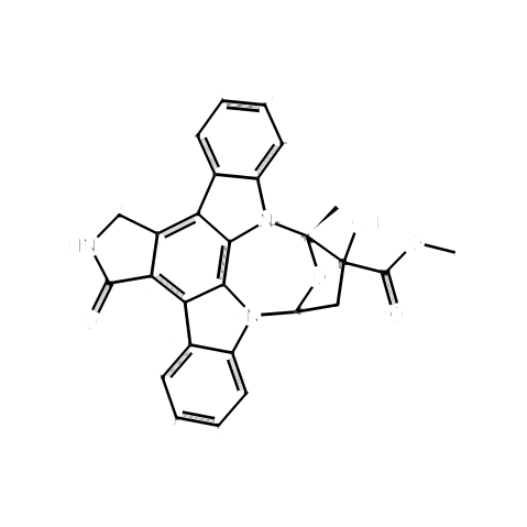 COC(=O)C1(O)CC2O[C@]1(C)n1c3ccccc3c3c4c(c5c6ccccc6n2c5c31)C(=O)NC4